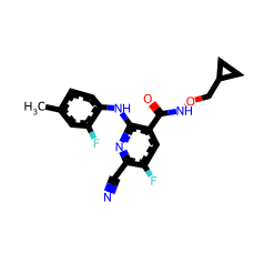 Cc1ccc(Nc2nc(C#N)c(F)cc2C(=O)NOCC2CC2)c(F)c1